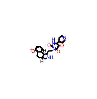 COc1cccc2c1CC[C@H]1CNC(CCn3c(=O)[nH]c4c(oc5cnccc54)c3=O)[C@@H]21